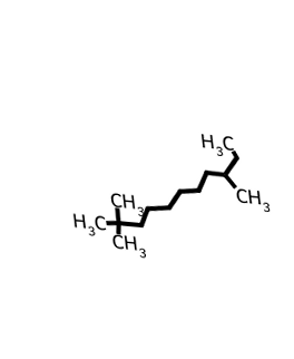 CCC(C)CCCCCCC(C)(C)C